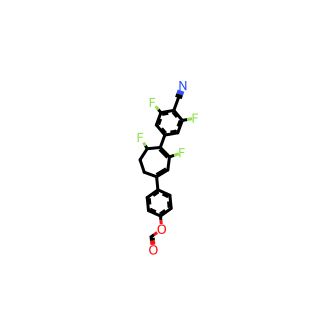 N#Cc1c(F)cc(C2=C(F)C=C(c3ccc(OC=O)cc3)CCC2F)cc1F